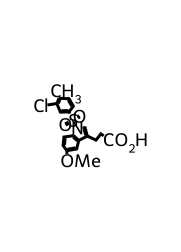 COc1ccc2c(c1)c(CCC(=O)O)cn2S(=O)(=O)c1ccc(C)c(Cl)c1